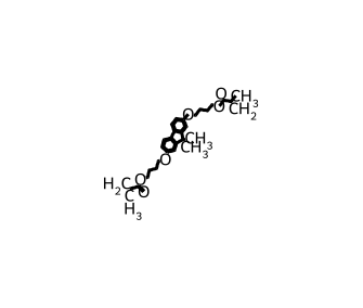 C=C(C)C(=O)OCCCCOc1ccc2c(c1)C(C)(C)c1cc(OCCCCOC(=O)C(=C)C)ccc1-2